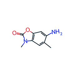 Cc1cc2c(cc1N)oc(=O)n2C